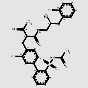 CC(=O)NS(=O)(=O)c1ccccc1-c1ccc(CC(C(N)=O)C(=O)NC[C@@H](S)Cc2ccccc2F)c(F)c1